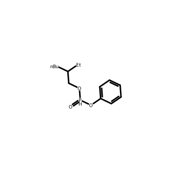 CCCCC(CC)CO[PH](=O)Oc1ccccc1